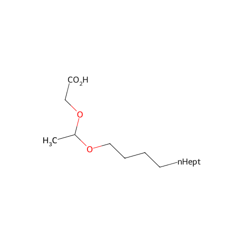 CCCCCCCCCCCOC(C)OCC(=O)O